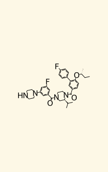 CC[C@@H](C)Oc1ccc(C(=O)N2CCN(C(=O)c3cc(F)cc(N4CCNCC4)c3)C[C@@H]2C(C)C)cc1-c1ccc(F)cc1